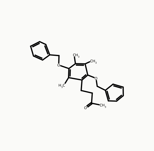 CC(=O)CCc1c(C)c(OCc2ccccc2)c(C)c(C)c1OCc1ccccc1